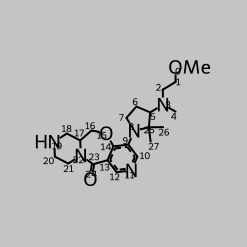 COCCN(C)C1CCN(c2cncc3c2OCC2CNCCN2C3=O)C1(C)C